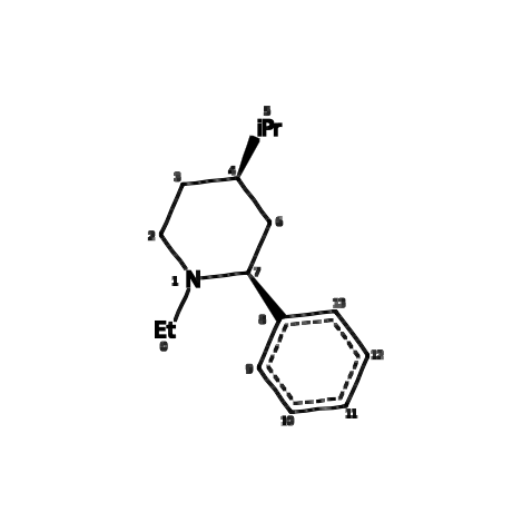 CCN1CC[C@@H](C(C)C)C[C@H]1c1ccccc1